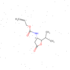 C=CCOC(=O)N[C@H]1CC(=O)OC1C(C)C